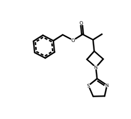 CC(C(=O)OCc1ccccc1)C1CN(C2=NCCS2)C1